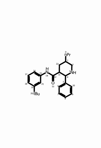 CCCC1CNC(c2ccccc2)C(C(=O)Nc2cccc(C(C)(C)C)c2)C1